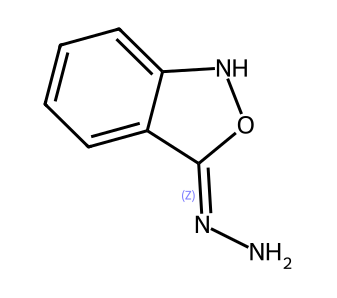 N/N=c1\o[nH]c2ccccc12